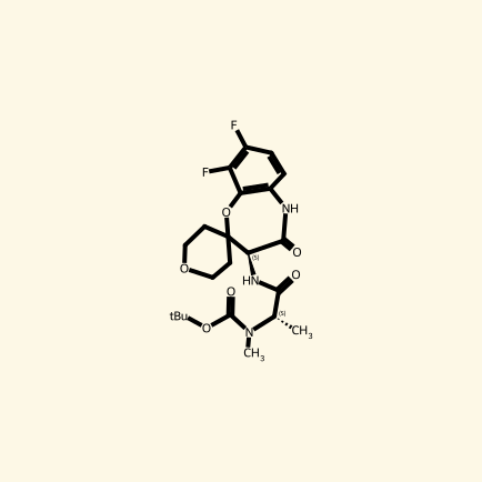 C[C@@H](C(=O)N[C@@H]1C(=O)Nc2ccc(F)c(F)c2OC12CCOCC2)N(C)C(=O)OC(C)(C)C